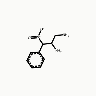 NCC(N)C(c1ccccc1)[N+](=O)[O-]